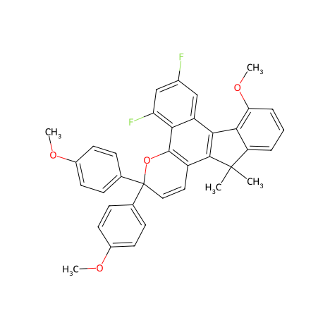 COc1ccc(C2(c3ccc(OC)cc3)C=Cc3c4c(c5cc(F)cc(F)c5c3O2)-c2c(OC)cccc2C4(C)C)cc1